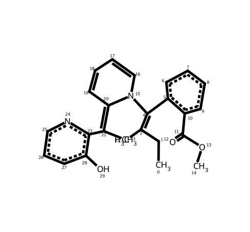 CC/C(C)=C(\c1ccccc1C(=O)OC)N1C=CC=C/C1=C(/C)c1ncccc1O